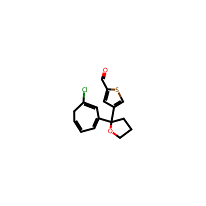 O=Cc1cc(C2(C3=CC=CCC(Cl)=C3)CCCO2)cs1